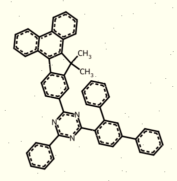 CC1(C)c2cc(-c3nc(-c4ccccc4)nc(-c4ccc(-c5ccccc5)cc4-c4ccccc4)n3)ccc2-c2c1c1ccccc1c1ccccc21